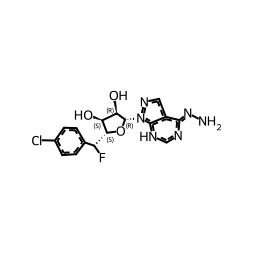 NN=c1nc[nH]c2c1cnn2[C@@H]1O[C@H](C(F)c2ccc(Cl)cc2)[C@@H](O)[C@H]1O